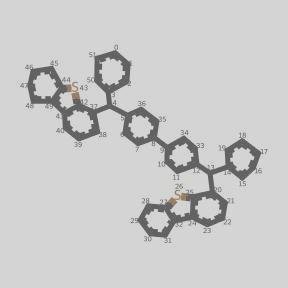 c1ccc(C(c2ccc(-c3ccc(C(c4ccccc4)c4cccc5c4sc4ccccc45)cc3)cc2)c2cccc3c2sc2ccccc23)cc1